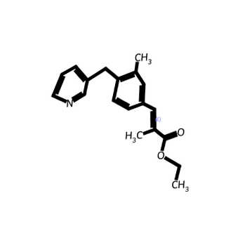 CCOC(=O)/C(C)=C/c1ccc(Cc2cccnc2)c(C)c1